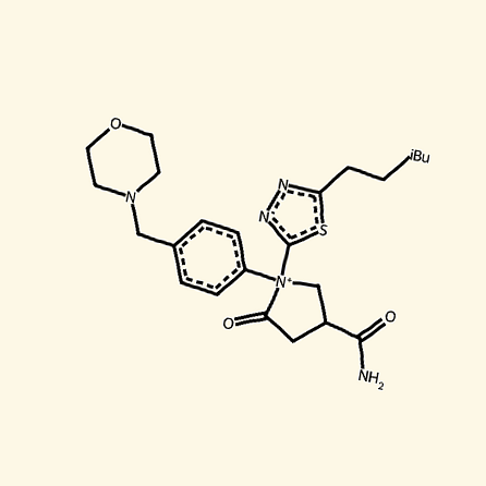 CCC(C)CCc1nnc([N+]2(c3ccc(CN4CCOCC4)cc3)CC(C(N)=O)CC2=O)s1